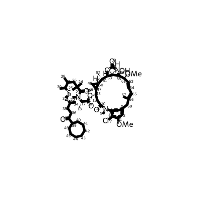 COc1cc2cc(c1Cl)N(C)C(=O)C[C@H](OC(=O)[C@H](C)N(C)C(=O)C(C)(C)CC(C)C(C)SSC(C)CCC(=O)C1CCCCCCC1)[C@@]1(C)C[C@H]1[C@H](C)[C@@H]1C[C@@](O)(NC(=O)O1)[C@H](OC)/C=C/C=C(\C)C2